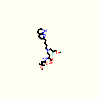 COCC(F)CN(CCCCc1ccc2c(n1)NCCC2)CCC(NC(=O)CC(C)(C)OC)C(=O)O